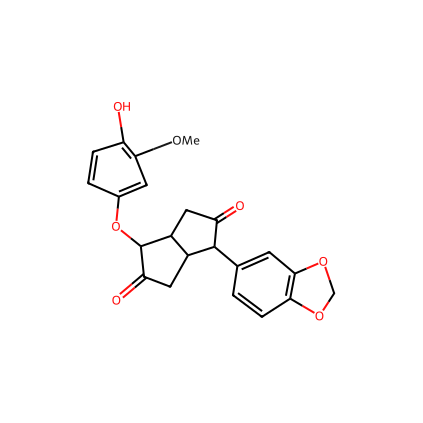 COc1cc(OC2C(=O)CC3C(c4ccc5c(c4)OCO5)C(=O)CC23)ccc1O